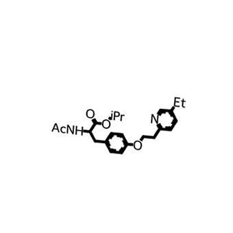 CCc1ccc(CCOc2ccc(CC(NC(C)=O)C(=O)OC(C)C)cc2)nc1